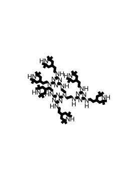 CC1(C)CC(CCNc2nc(NCCC3CC(C)(C)NC(C)(C)C3)nc(NCCN(CCNc3nc(NCCC4CC(C)(C)NC(C)(C)C4)nc(NCCC4CC(C)(C)NC(C)(C)C4)n3)c3nc(NCCC4CC(C)(C)NC(C)(C)C4)nc(NCCC4CC(C)(C)NC(C)(C)C4)n3)n2)CC(C)(C)N1